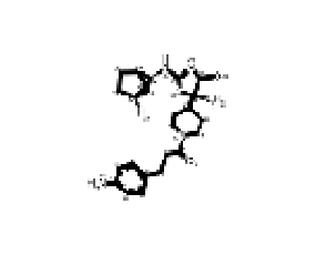 CC1(C2CCN(C(=O)CCc3ccc(N)cc3)CC2)SC(N[C@H]2C[C@@H]3CCC2C3)=NC1=O